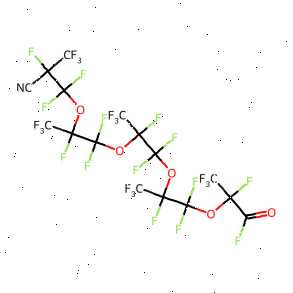 N#CC(F)(C(F)(F)F)C(F)(F)OC(F)(C(F)(F)F)C(F)(F)OC(F)(C(F)(F)F)C(F)(F)OC(F)(C(F)(F)F)C(F)(F)OC(F)(C(=O)F)C(F)(F)F